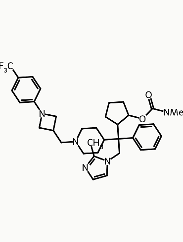 CNC(=O)OC1CCCC1C(Cn1ccnc1C)(c1ccccc1)C1CCN(CC2CN(c3ccc(C(F)(F)F)cc3)C2)CC1